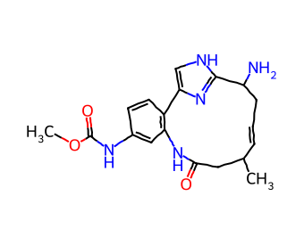 COC(=O)Nc1ccc2c(c1)NC(=O)CC(C)/C=C/CC(N)c1nc-2c[nH]1